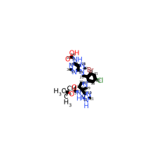 CC(C)(C)OC(=O)NC1(c2nc[nH]n2)CCN(c2cc(Cl)cc(Br)c2Cn2cnc3c(NC(=O)O)ncnc32)C1